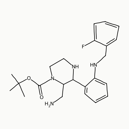 CC(C)(C)OC(=O)N1CCNC(c2ccccc2NCc2ccccc2F)C1CN